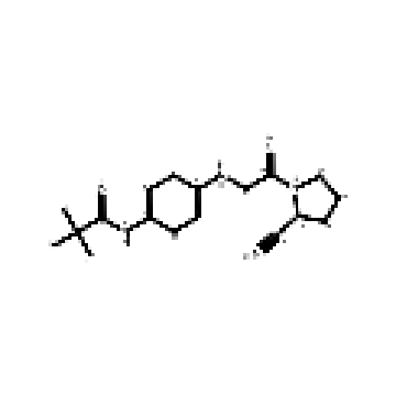 CC(C)(C)C(=O)NC1CCC(NCC(=O)N2CCCC2C#N)CC1